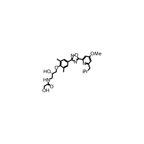 COc1cc(CC(C)C)nc(-c2nc(-c3cc(C)c(OC[C@@H](O)CNC(=O)CO)c(C)c3)no2)c1